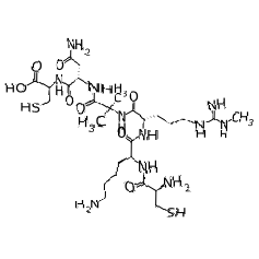 CNC(=N)NCCC[C@H](NC(=O)[C@H](CCCCN)NC(=O)[C@@H](N)CS)C(=O)NC(C)(C)C(=O)N[C@@H](CC(N)=O)C(=O)N[C@@H](CS)C(=O)O